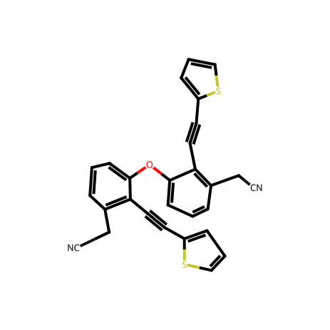 N#CCc1cccc(Oc2cccc(CC#N)c2C#Cc2cccs2)c1C#Cc1cccs1